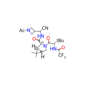 CC(=O)N1CC(C(C#N)NC(=O)[C@@H]2[C@@H]3[C@H](CN2C(=O)C(NC(=O)C(F)(F)F)C(C)(C)C)C3(C)C)C1